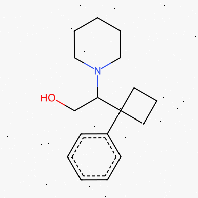 OCC(N1CCCCC1)C1(c2ccccc2)CCC1